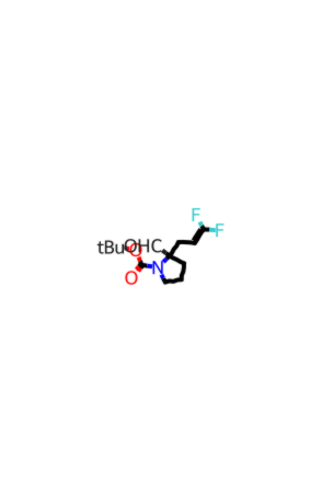 CC(C)(C)OC(=O)N1CCCC1(C=O)CC=C(F)F